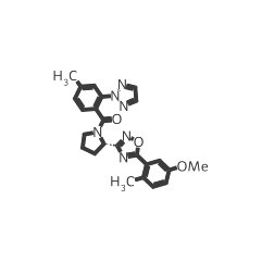 COc1ccc(C)c(-c2nc([C@@H]3CCCN3C(=O)c3ccc(C)cc3-n3nccn3)no2)c1